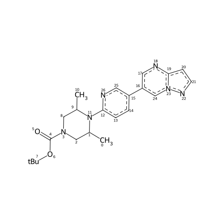 CC1CN(C(=O)OC(C)(C)C)CC(C)N1c1ccc(-c2cnc3ccnn3c2)cn1